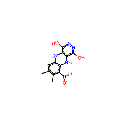 Cc1cc2c(c([N+](=O)[O-])c1C)Nc1c(O)nnc(O)c1N2